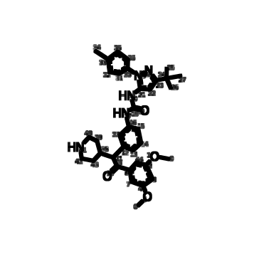 COc1cc(OC)cc(C(=O)C(c2cccc(NC(=O)Nc3cc(C(C)(C)C)nn3-c3ccc(C)cc3)c2)C2CCNCC2)c1